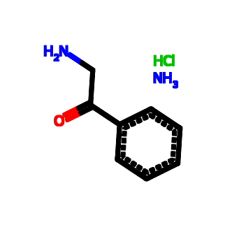 Cl.N.NCC(=O)c1ccccc1